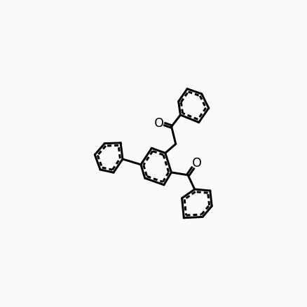 O=C(Cc1cc(-c2ccccc2)ccc1C(=O)c1ccccc1)c1ccccc1